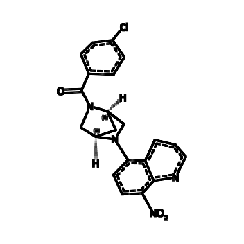 O=C(c1ccc(Cl)cc1)N1C[C@H]2C[C@@H]1CN2c1ccc([N+](=O)[O-])c2ncccc12